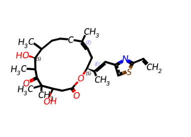 C=Cc1nc(/C=C(\C)[C@@H]2C/C=C(/C)CCCC(C)[C@H](O)C(C)C(=O)C(C)(C)C(O)CC(=O)O2)cs1